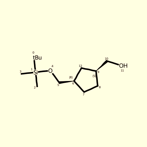 CC(C)(C)[Si](C)(C)OC[C@@H]1CC[C@H](CO)C1